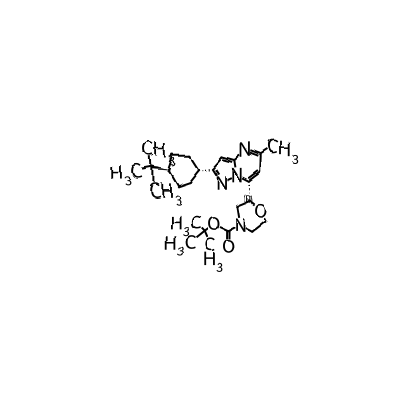 Cc1cc([C@H]2CN(C(=O)OC(C)(C)C)CCO2)n2nc([C@H]3CC[C@H](C(C)(C)C)CC3)cc2n1